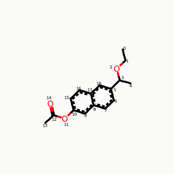 CCOC(C)c1ccc2cc(OC(C)=O)ccc2c1